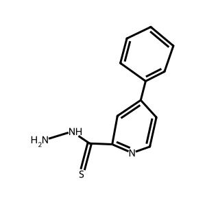 NNC(=S)c1cc(-c2ccccc2)ccn1